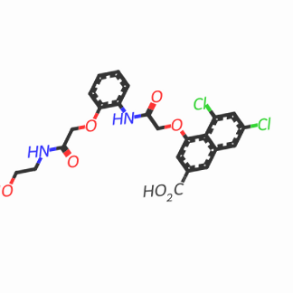 O=C(COc1ccccc1NC(=O)COc1cc(C(=O)O)cc2cc(Cl)cc(Cl)c12)NCCO